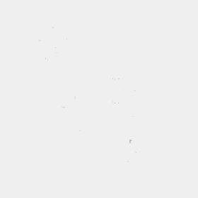 CC(C)NC(=O)C1=CN2C(=NC(c3ccc(C4(N)CCC4)cc3)C2C2C=CC=CC2)C=C1